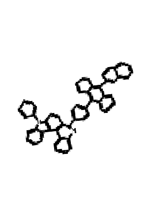 c1ccc(-n2c3ccccc3c3c4c(ccc32)c(-c2ccc(-c3c5ccccc5c(-c5ccc6ccccc6c5)c5ccccc35)cc2)nc2ccccc24)cc1